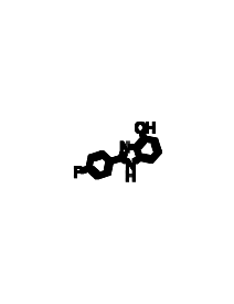 Oc1cccc2[nH]c(-c3ccc(F)cc3)nc12